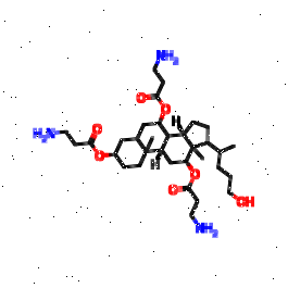 CC(CCCO)C1CC[C@H]2C3[C@H](OC(=O)CCN)CC4C[C@H](OC(=O)CCN)CCC4(C)[C@H]3C[C@H](OC(=O)CCN)C12C